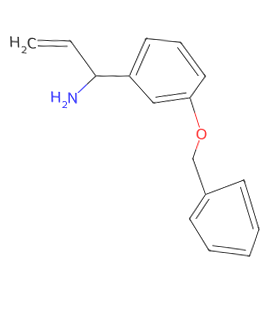 C=CC(N)c1cccc(OCc2ccccc2)c1